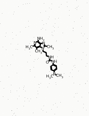 Cc1nc(N)c2nc(C)n(CCCNC(=O)Nc3ccc(N(C)C)cc3)c2c1C